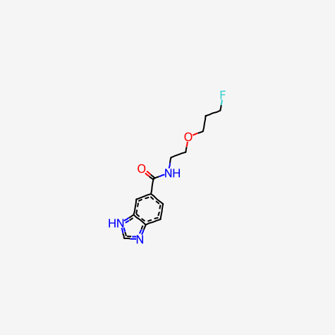 O=C(NCCOCCCF)c1ccc2nc[nH]c2c1